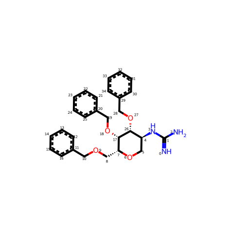 N=C(N)N[C@H]1CO[C@H](COCc2ccccc2)[C@H](OCc2ccccc2)[C@@H]1OCc1ccccc1